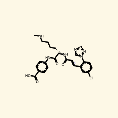 CNCCCC[C@H](NC(=O)/C=C/c1cc(Cl)ccc1-n1cnnn1)C(=O)Nc1ccc(C(=O)O)cc1